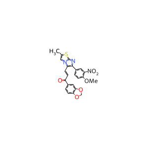 COc1ccc(-c2nc3sc(C)cn3c2C=CC(=O)c2ccc3c(c2)OCO3)cc1[N+](=O)[O-]